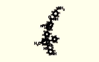 CCC[C@]12CC3CC(C(=O)N[C@H]4CC[C@H](CN)CC4)(C1)C[C@@](c1ccc(C45CC6(C(=O)N[C@@H]7CCNC[C@H]7F)C[C@](C)(C4)C[C@@](c4ccccc4)(C6)C5)cc1)(C3)C2